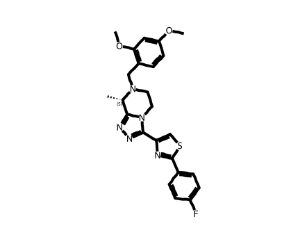 COc1ccc(CN2CCn3c(-c4csc(-c5ccc(F)cc5)n4)nnc3[C@@H]2C)c(OC)c1